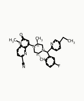 CCc1ccc(C(c2cccc(F)c2)N2C[C@H](C)N(c3cc(=O)n(C)c4ccc(C#N)nc34)C[C@H]2C)nc1